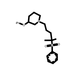 CC(C)OC1CCCN(CCCC(C)(C)S(=O)(=O)c2ccccc2)C1